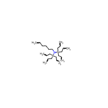 C=C[CH]CCCN([Si](CC=C)(CC=C)CC=C)[Si](CC=C)(CC=C)CC=C